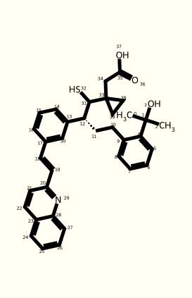 CC(C)(O)c1ccccc1CC[C@H](c1cccc(/C=C/c2ccc3ccccc3n2)c1)C(S)C1(CC(=O)O)CC1